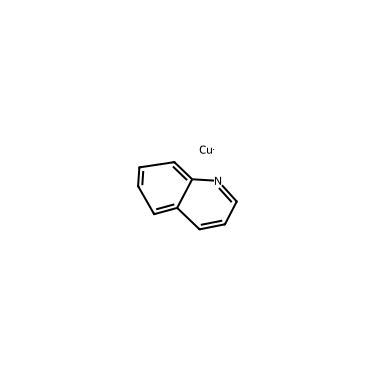 [Cu].c1ccc2ncccc2c1